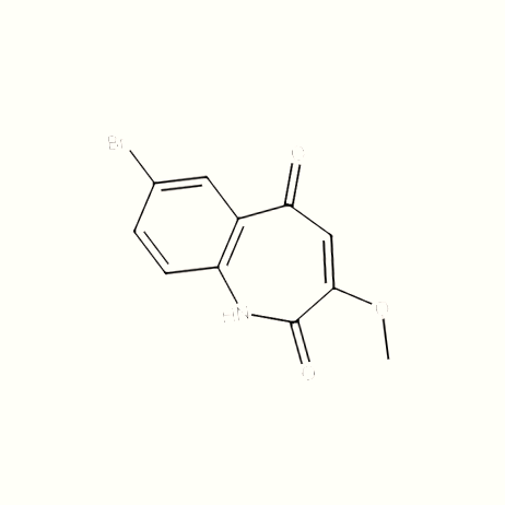 COc1cc(=O)c2cc(Br)ccc2[nH]c1=O